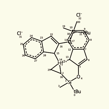 CC(C)(C)[Si](C)(C)OC1=Cc2ccccc2[CH]1[Hf+2]1([CH]2C(O[Si](C)(C)C(C)(C)C)=Cc3ccccc32)[CH2][CH2]1.[Cl-].[Cl-]